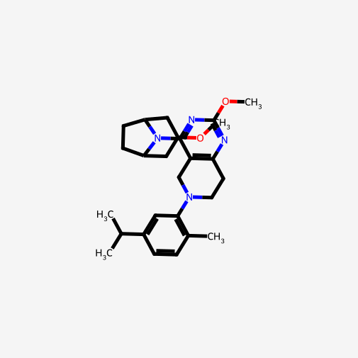 COc1nc2c(c(N3C4CCC3CC(OC)C4)n1)CN(c1cc(C(C)C)ccc1C)CC2